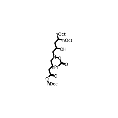 CCCCCCCCCCOC(=O)CCCN(CC(O)CC(CCCCCCCC)CCCCCCCC)OC(=O)CCC